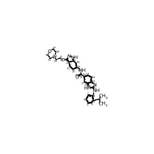 CC(C)c1ccccc1Nc1nc2ccc(C(=O)Nc3ccc4c(OCCN5CCOCC5)n[nH]c4c3)cc2[nH]1